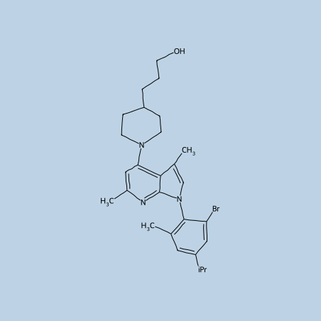 Cc1cc(N2CCC(CCCO)CC2)c2c(C)cn(-c3c(C)cc(C(C)C)cc3Br)c2n1